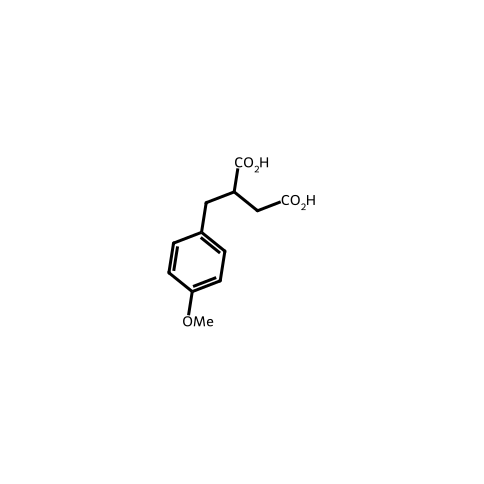 COc1ccc(CC(CC(=O)O)C(=O)O)cc1